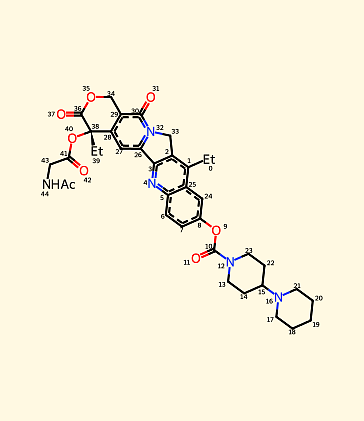 CCc1c2c(nc3ccc(OC(=O)N4CCC(N5CCCCC5)CC4)cc13)-c1cc3c(c(=O)n1C2)COC(=O)[C@@]3(CC)OC(=O)CNC(C)=O